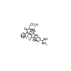 CC(=O)[C@@](C(=O)O)(N1C(=O)N[C@@](c2ccc(C(=N)N)cc2)(C(C)(C)C)C1=O)N(C(=O)[C@@H](N)CC(=O)O)c1ccccc1